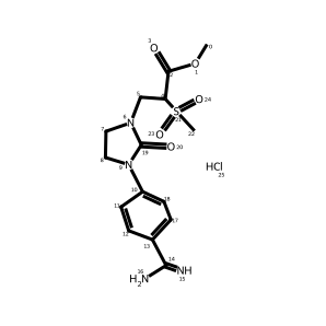 COC(=O)C(CN1CCN(c2ccc(C(=N)N)cc2)C1=O)S(C)(=O)=O.Cl